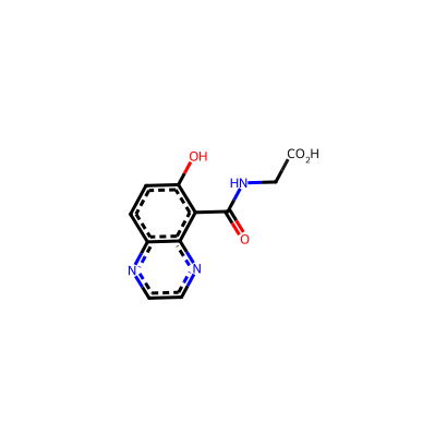 O=C(O)CNC(=O)c1c(O)ccc2nccnc12